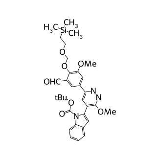 COc1cc(-c2cc(-c3cc4ccccc4n3C(=O)OC(C)(C)C)c(OC)nn2)cc(C=O)c1OCOCC[Si](C)(C)C